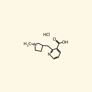 CN1CCC(Cc2ncccc2C(=O)O)C1.Cl